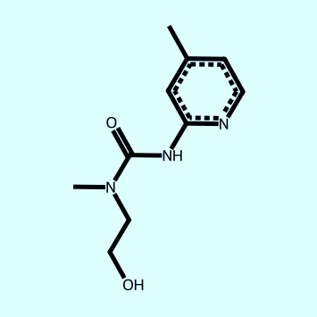 Cc1ccnc(NC(=O)N(C)CCO)c1